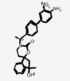 C[C@@H](c1ccc(-c2ccc(N)c([N+](=O)[O-])c2)cc1)N1CCC(CC(C)(C)O)(c2ccccc2)OC1=O